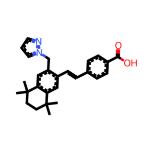 CC1(C)CCC(C)(C)c2cc(Cn3cccn3)c(C=Cc3ccc(C(=O)O)cc3)cc21